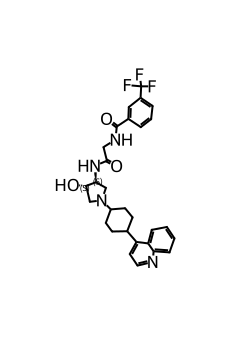 O=C(CNC(=O)c1cccc(C(F)(F)F)c1)N[C@H]1CN(C2CCC(c3ccnc4ccccc34)CC2)C[C@@H]1O